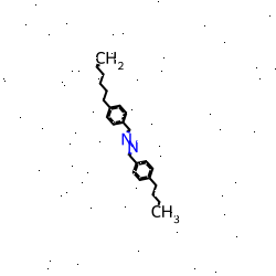 C=CCCCCc1ccc(C=NN=Cc2ccc(CCCC)cc2)cc1